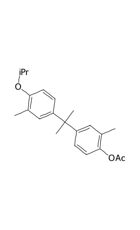 CC(=O)Oc1ccc(C(C)(C)c2ccc(OC(C)C)c(C)c2)cc1C